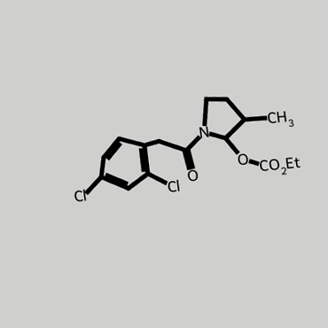 CCOC(=O)OC1C(C)CCN1C(=O)Cc1ccc(Cl)cc1Cl